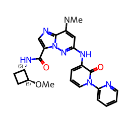 CNc1cc(Nc2cccn(-c3ccccn3)c2=O)nn2c(C(=O)N[C@H]3CC[C@@H]3OC)cnc12